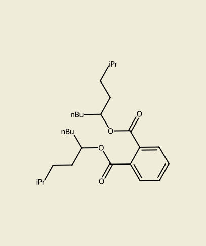 CCCCC(CCC(C)C)OC(=O)c1ccccc1C(=O)OC(CCCC)CCC(C)C